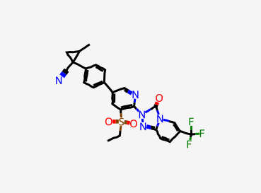 CCS(=O)(=O)c1cc(-c2ccc(C3(C#N)CC3C)cc2)cnc1-n1nc2ccc(C(F)(F)F)cn2c1=O